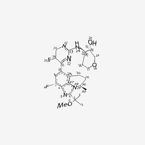 COC(C)(C)c1nc2c(F)cc(C3=NC(N[C@@H]4CCOC[C@H]4O)=NCC3F)c3c2n1[C@H](C)CC3